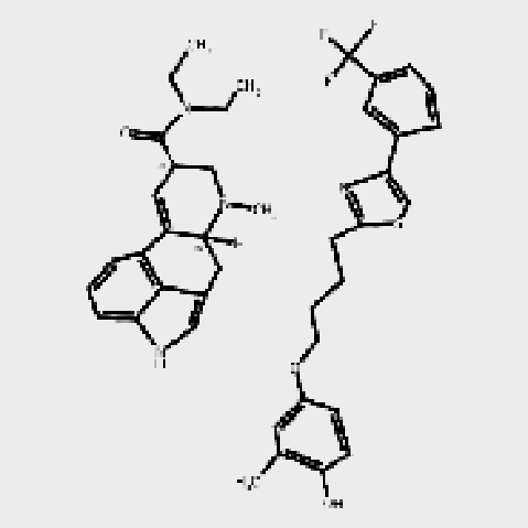 CCN(CC)C(=O)[C@@H]1C=C2c3cccc4[nH]cc(c34)C[C@H]2N(C)C1.Cc1cc(OCCCCc2nc(-c3cccc(C(F)(F)F)c3)cs2)ccc1O